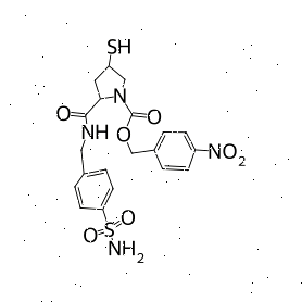 NS(=O)(=O)c1ccc(CNC(=O)C2CC(S)CN2C(=O)OCc2ccc([N+](=O)[O-])cc2)cc1